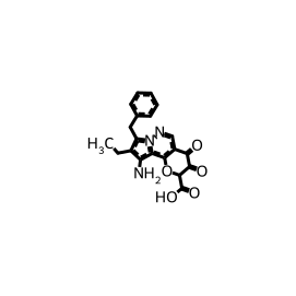 CCc1c(N)c2c3c(cnn2c1Cc1ccccc1)C(=O)C(=O)C(C(=O)O)O3